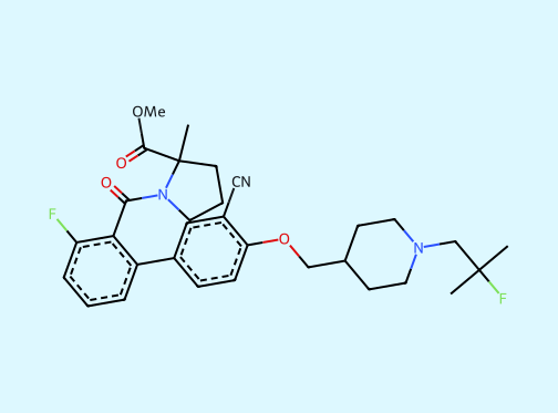 COC(=O)C1(C)CCCN1C(=O)c1c(F)cccc1-c1ccc(OCC2CCN(CC(C)(C)F)CC2)c(C#N)c1